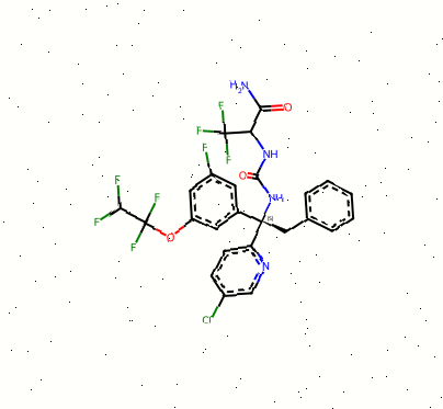 NC(=O)C(NC(=O)N[C@@](Cc1ccccc1)(c1cc(F)cc(OC(F)(F)C(F)F)c1)c1ccc(Cl)cn1)C(F)(F)F